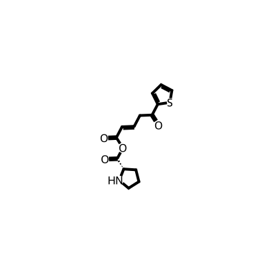 O=C(C=CCC(=O)c1cccs1)OC(=O)[C@@H]1CCCN1